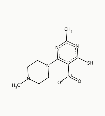 Cc1nc(S)c([N+](=O)[O-])c(N2CCN(C)CC2)n1